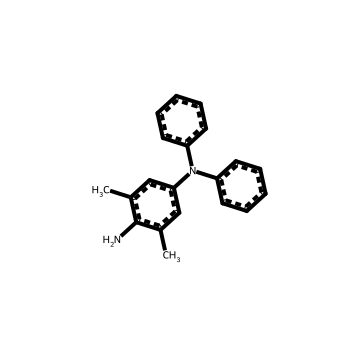 Cc1cc(N(c2ccccc2)c2ccccc2)cc(C)c1N